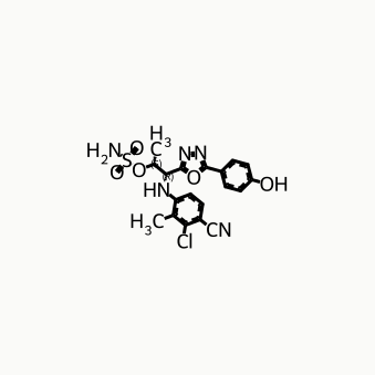 Cc1c(N[C@@H](c2nnc(-c3ccc(O)cc3)o2)[C@H](C)OS(N)(=O)=O)ccc(C#N)c1Cl